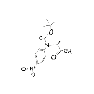 C[C@@H](C(=O)O)N(C(=O)OC(C)(C)C)c1ccc([N+](=O)[O-])cc1